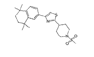 CC1(C)CCC(C)(C)c2cc(-c3csc(C4CCN(S(C)(=O)=O)CC4)n3)ccc21